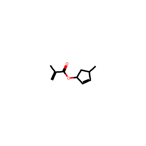 C=C(C)C(=O)OC1C=CC(C)C1